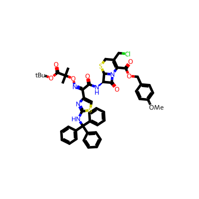 COc1ccc(COC(=O)C2=C(CCl)CSC3[C@H](NC(=O)/C(=N\OC(C)(C)C(=O)OC(C)(C)C)c4csc(NC(c5ccccc5)(c5ccccc5)c5ccccc5)n4)C(=O)N23)cc1